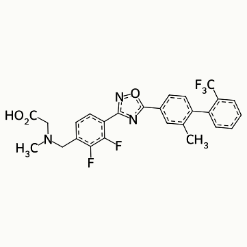 Cc1cc(-c2nc(-c3ccc(CN(C)CC(=O)O)c(F)c3F)no2)ccc1-c1ccccc1C(F)(F)F